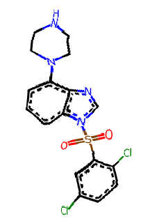 O=S(=O)(c1cc(Cl)ccc1Cl)n1cnc2c(N3CCNCC3)cccc21